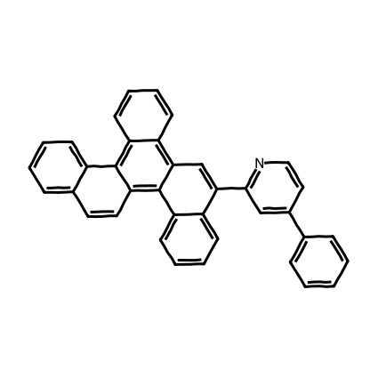 c1ccc(-c2ccnc(-c3cc4c5ccccc5c5c6ccccc6ccc5c4c4ccccc34)c2)cc1